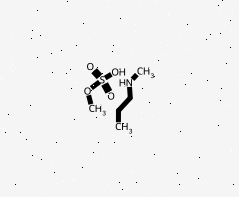 CCCNC.COS(=O)(=O)O